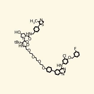 Cc1ncsc1-c1ccc(CNC(=O)C2CC(O)CN2C(=O)[C@@H](NC(=O)COCCOCCOCCOc2ccc(-c3ccc4ncnc(Nc5ccc(OCc6cccc(F)c6)c(Cl)c5)c4c3)cc2)C(C)(C)C)cc1